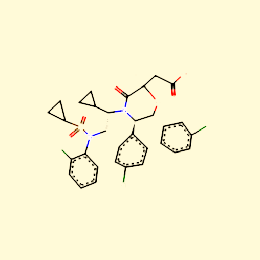 C[C@]1(CC(=O)O)O[C@H](c2cccc(Cl)c2)[C@@H](c2ccc(Cl)cc2)N([C@H](CN(c2ccccc2F)S(=O)(=O)C2CC2)C2CC2)C1=O